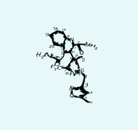 Cc1cc(Cn2nc(C(F)(F)F)c(-c3c(C(N)=O)nc4ccccc4c3C(N)=O)c2C)no1